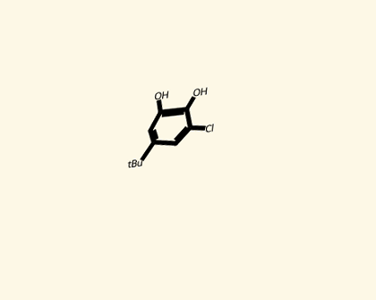 CC(C)(C)c1cc(O)c(O)c(Cl)c1